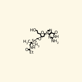 CCC(=O)NCC(C)(C)SSCO[C@@H]1C[C@H](n2cnc3c(=O)[nH]c(N)nc32)OC1CCO